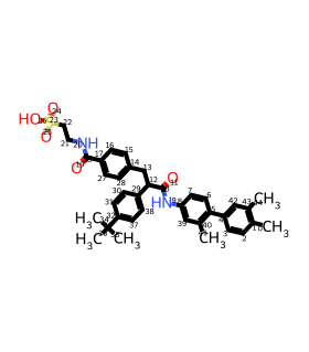 Cc1ccc(-c2ccc(NC(=O)C(Cc3ccc(C(=O)NCCS(=O)(=O)O)cc3)c3ccc(C(C)(C)C)cc3)cc2C)cc1C